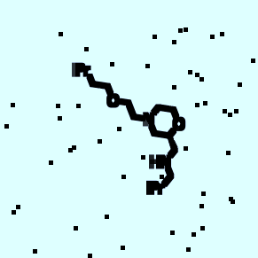 CC(C)CCOCCN1CCO[C@@H](CNCC(C)C)C1